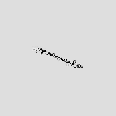 CC(C)(C)OC(=O)NCCOCCOCCOCCOCC(F)CN